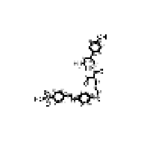 CN(CCCC(C=O)C(=O)NCC(CN)c1ccc(O)cc1)c1ccc(N=Nc2ccc(S(=O)(=O)O)cc2)cc1